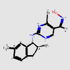 CC/C(=N/O)c1cnc(N[C@H]2c3cc(C)ccc3C[C@@H]2C)nc1CC